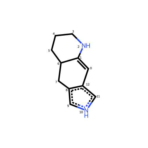 C1=C2NCCCC2Cc2c[nH]cc21